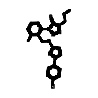 COCn1nnn(-c2cccc(C)c2COc2ccn(-c3ccc(Cl)cc3)n2)c1=O